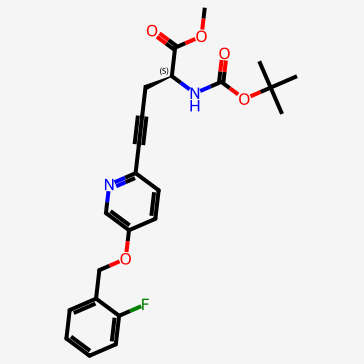 COC(=O)[C@H](CC#Cc1ccc(OCc2ccccc2F)cn1)NC(=O)OC(C)(C)C